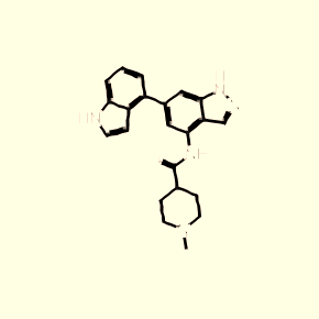 CN1CCC(C(=O)Nc2cc(-c3cccc4[nH]ccc34)cc3[nH]ncc23)CC1